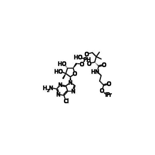 CC(C)OC(=O)CCNC(=O)[C@@H]1O[PH](O)(OC[C@H]2O[C@@H](n3cnc4c(Cl)nc(N)nc43)[C@](C)(O)[C@@H]2O)OCC1(C)C